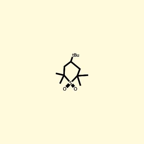 CC(C)(C)C1CC(C)(C)S(=O)(=O)C(C)(C)C1